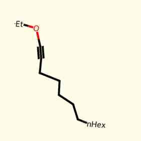 C[CH]OC#CCCCCCCCCCCC